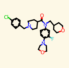 O=C(C1CCN(Cc2ccc(Cl)cc2)CC1)N(CC1CCOCC1)c1ccc(N2CCOCC2)c(F)c1